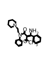 CC(=O)C(C(=O)N(CCN1CCCCC1)c1ccccc1)=C(N)c1ccccc1